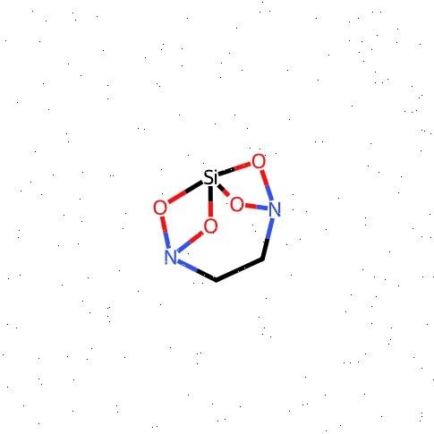 C1CN2O[Si]3(ON1O3)O2